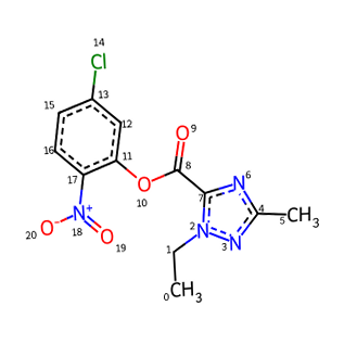 CCn1nc(C)nc1C(=O)Oc1cc(Cl)ccc1[N+](=O)[O-]